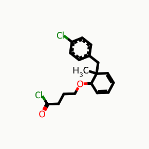 CC1(Cc2ccc(Cl)cc2)C=CC=CC1OCCCC(=O)Cl